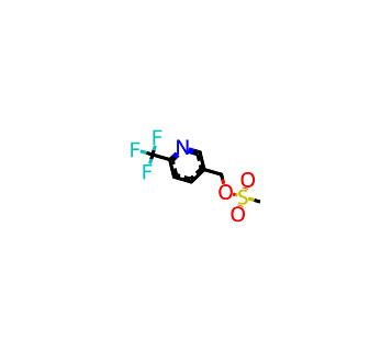 CS(=O)(=O)OCc1ccc(C(F)(F)F)nc1